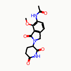 COc1c(NC(C)=O)ccc2c1C(=O)N(C1CCC(=O)NC1=O)C2